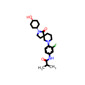 CC(C)C(=O)Nc1ccc(N2CCCC3(CCN([C@H]4CC[C@H](O)CC4)C3=O)C2)c(F)c1